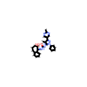 Cc1ncc(-c2nn(-c3ccccc3)c(NC(=O)NC3c4ccccc4CCCC3O)c2C)cn1